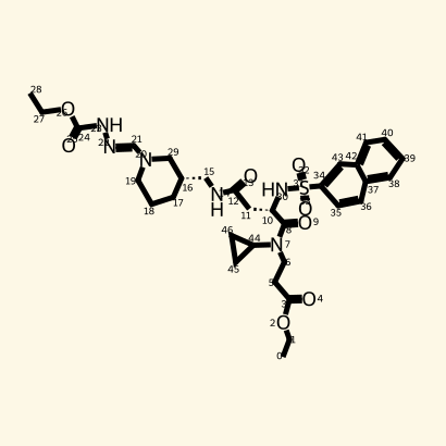 CCOC(=O)CCN(C(=O)[C@H](CC(=O)NC[C@@H]1CCCN(C=NNC(=O)OCC)C1)NS(=O)(=O)c1ccc2ccccc2c1)C1CC1